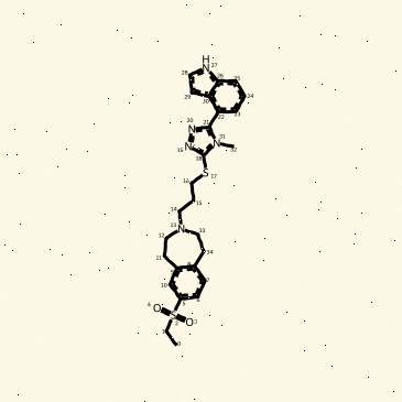 CCS(=O)(=O)c1ccc2c(c1)CCN(CCCSc1nnc(-c3cccc4[nH]ccc34)n1C)CC2